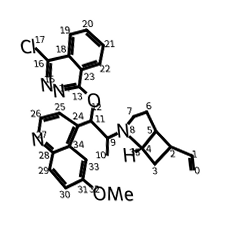 C=CC1C[C@H]2C1CCN2C(C)C(Oc1nnc(Cl)c2ccccc12)c1ccnc2ccc(OC)cc12